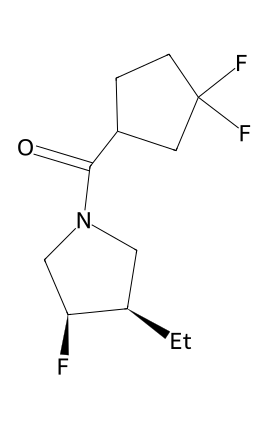 CC[C@@H]1CN(C(=O)C2CCC(F)(F)C2)C[C@@H]1F